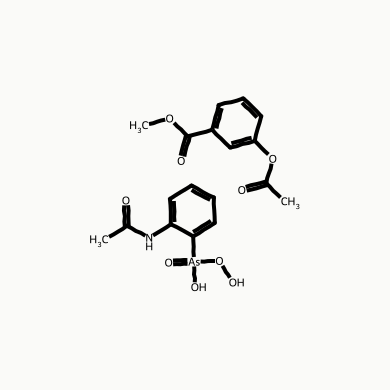 CC(=O)Nc1ccccc1[As](=O)(O)OO.COC(=O)c1cccc(OC(C)=O)c1